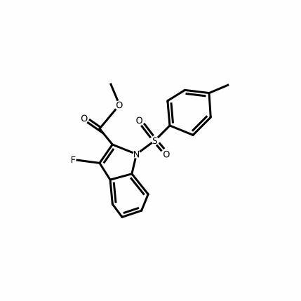 COC(=O)c1c(F)c2ccccc2n1S(=O)(=O)c1ccc(C)cc1